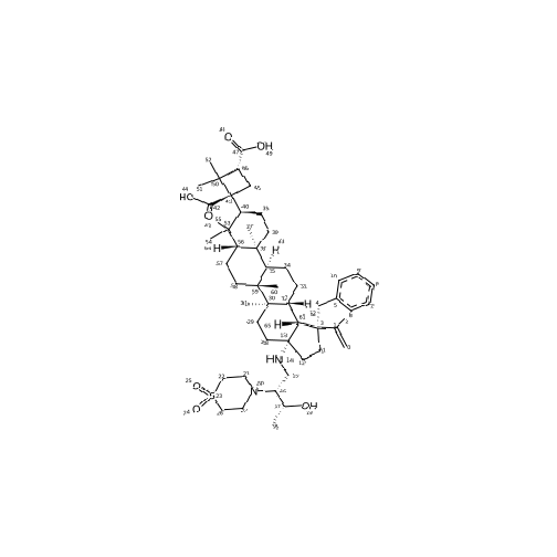 C=C(C)[C@@]1(Cc2ccccc2)CC[C@@]2(NC[C@H]([C@@H](C)O)N3CCS(=O)(=O)CC3)CC[C@]3(C)[C@H](CC[C@@H]4[C@]5(C)CC[C@H]([C@@]6(C(=O)O)C[C@@H](C(=O)O)C6(C)C)C(C)(C)[C@H]5CC[C@]43C)[C@@H]21